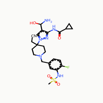 CS(=O)(=O)Nc1cc(CN2CCC(CC#N)(n3cc(C(N)O)c(NC(=O)C4CC4)n3)CC2)ccc1F